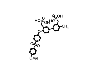 COc1ccc(S(=O)(=O)c2ccc(Oc3ccc(-c4ccc(C)c(CP(=O)(O)O)c4)cc3CP(=O)(O)O)cc2)cc1